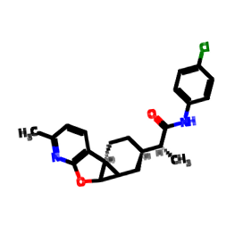 Cc1ccc2c(n1)OC1C3C[C@H]([C@@H](C)C(=O)Nc4ccc(Cl)cc4)CC[C@]231